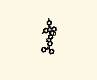 Cc1ccc(N2c3ccc(C)cc3B3c4cc5sc6cc(N(c7ccccc7)c7ccccc7)ccc6c5cc4Oc4cccc2c43)cc1